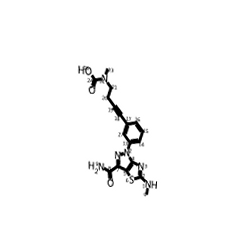 CNc1nc2c(s1)c(C(N)=O)nn2-c1cccc(C#CCCN(C)C(=O)O)c1